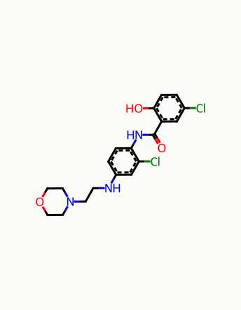 O=C(Nc1ccc(NCCN2CCOCC2)cc1Cl)c1cc(Cl)ccc1O